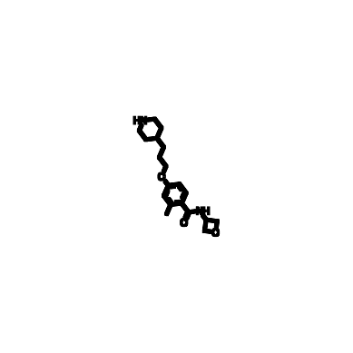 Cc1cc(OCCCC2CCNCC2)ccc1C(=O)NC1COC1